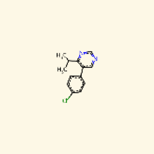 CC(C)c1n[c]ncc1-c1ccc(Cl)cc1